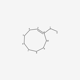 C[CH]/C1=C/CCCCCCC1